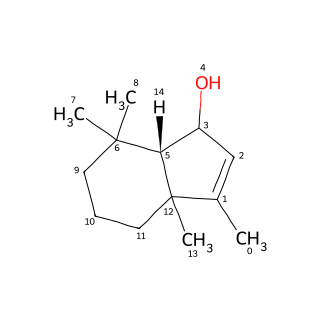 CC1=CC(O)[C@H]2C(C)(C)CCCC12C